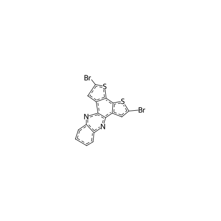 Brc1cc2c3nc4ccccc4nc3c3cc(Br)sc3c2s1